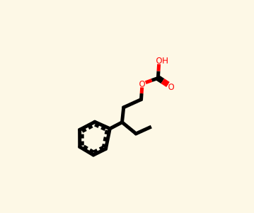 CCC(CCOC(=O)O)c1ccccc1